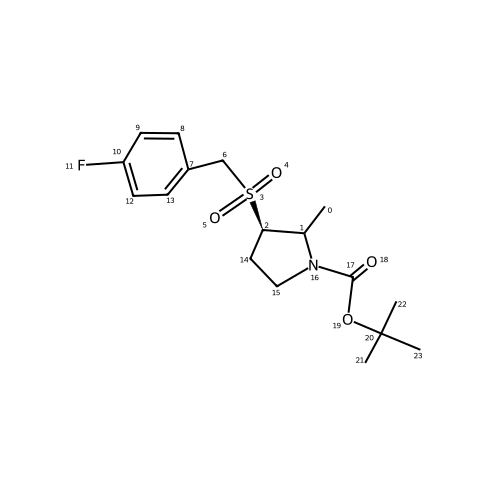 CC1[C@H](S(=O)(=O)Cc2ccc(F)cc2)CCN1C(=O)OC(C)(C)C